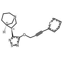 C(#Cc1ccccc1)COc1nsnc1[C@@H]1CN2CCC[C@H]1C2